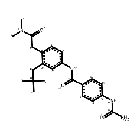 CN(C)C(=O)Cc1ccc(OC(=O)c2ccc(NC(=N)N)cc2)cc1CC(C)(C)C